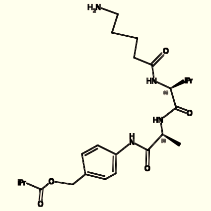 CC(C)C(=O)OCc1ccc(NC(=O)[C@H](C)NC(=O)[C@@H](NC(=O)CCCCN)C(C)C)cc1